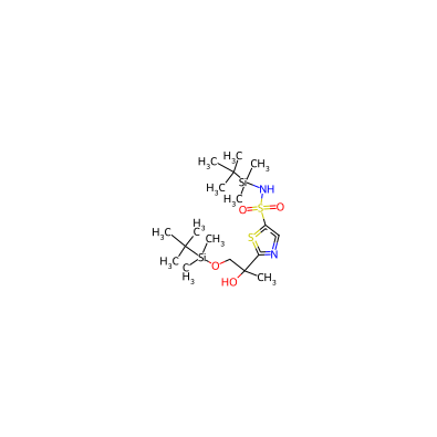 CC(O)(CO[Si](C)(C)C(C)(C)C)c1ncc(S(=O)(=O)N[Si](C)(C)C(C)(C)C)s1